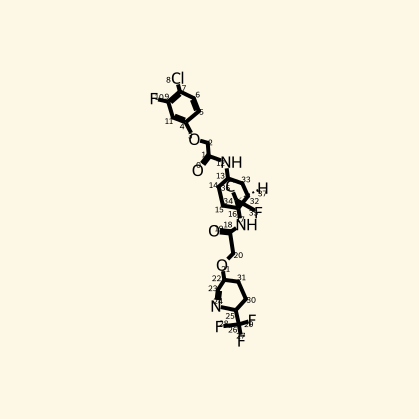 O=C(COc1ccc(Cl)c(F)c1)NC12CCC(NC(=O)COC3C=NC(C(F)(F)F)CC3)(CC1)[C@H](F)C2